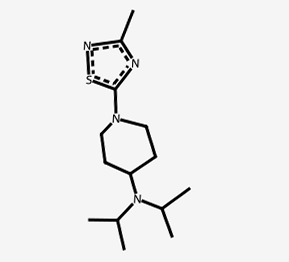 Cc1nsc(N2CCC(N(C(C)C)C(C)C)CC2)n1